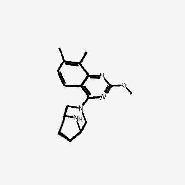 COc1nc(N2CC3CCC(C2)N3)c2ccc(C)c(C)c2n1